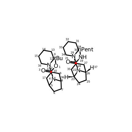 CC(C)(C)OC(=O)N1C2CCC1CC(N1CCCCC1)C2.CCCCCNC(=O)N1[C@@H]2CC[C@H]1C[C@H](N1CCCCC1)C2